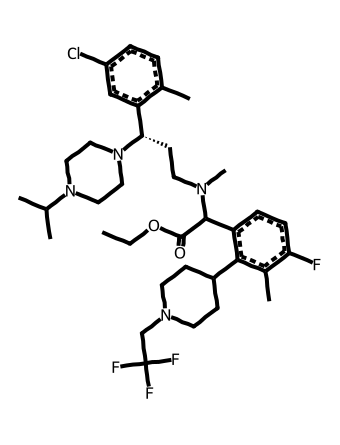 CCOC(=O)C(c1ccc(F)c(C)c1C1CCN(CC(F)(F)F)CC1)N(C)CC[C@@H](c1cc(Cl)ccc1C)N1CCN(C(C)C)CC1